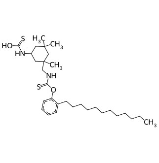 CCCCCCCCCCCCc1ccccc1OC(=S)NCC1(C)CC(NC(O)=S)CC(C)(C)C1